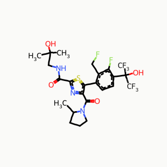 CC1CCCN1C(=O)c1nc(C(=O)NCC(C)(C)O)sc1-c1ccc(C(O)(C(F)(F)F)C(F)(F)F)c(F)c1CF